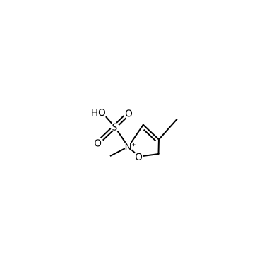 CC1=C[N+](C)(S(=O)(=O)O)OC1